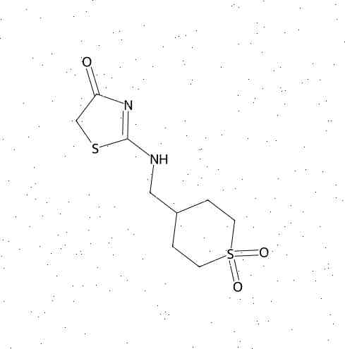 O=C1CSC(NCC2CCS(=O)(=O)CC2)=N1